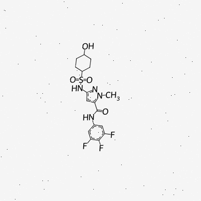 Cn1nc(NS(=O)(=O)C2CCC(O)CC2)cc1C(=O)Nc1cc(F)c(F)c(F)c1